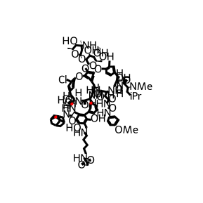 CN[C@H](CC(C)C)C(=O)N[C@H]1C(=O)N[C@@H](CC(=O)NC(=O)Nc2ccc(OC)cc2)C(=O)N[C@H]2C(=O)N[C@H]3C(=O)N[C@H](C(=O)N[C@H](C(=O)NC4C5CC6CC(C5)CC4C6)c4cc(O)c(CNCCCCCNS(C)(=O)=O)c(C)c4-c4cc3ccc4O)[C@H](O)c3ccc(c(Cl)c3)Oc3cc2cc(c3O[C@@H]2O[C@H](CO)[C@@H](O)[C@H](O)[C@H]2O[C@H]2C[C@](C)(N)[C@H](O)[C@H](C)O2)Oc2ccc(cc2C)[C@H]1O